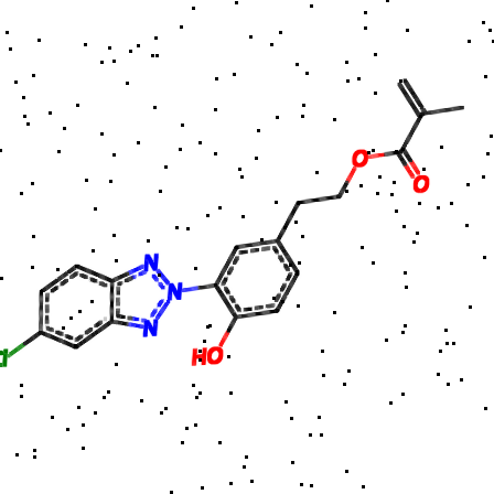 C=C(C)C(=O)OCCc1ccc(O)c(-n2nc3ccc(Cl)cc3n2)c1